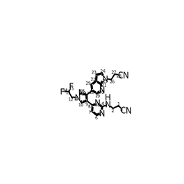 N#CCCNc1nccc(-c2cn(CC(F)F)nc2-c2cnc3c(ccn3CCC#N)c2)n1